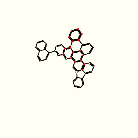 c1ccc(-c2ccccc2-c2c(-c3ccccc3)cccc2-c2ccccc2N(c2ccc(-c3cccc4ccccc34)cc2)c2ccc(-c3cccc4c3oc3ccccc34)cc2)cc1